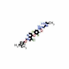 Cc1c[nH]c(CNC(=O)Nc2cc(F)c(Oc3ccnc4c3c(Cl)cn4COCC[Si](C)(C)C)c(F)c2)n1